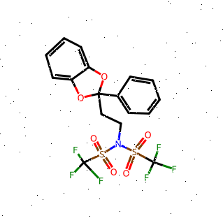 O=S(=O)(N(CCC1(c2ccccc2)Oc2ccccc2O1)S(=O)(=O)C(F)(F)F)C(F)(F)F